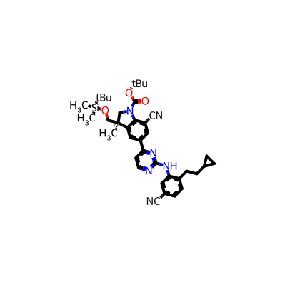 CC(C)(C)OC(=O)N1C[C@](C)(CO[Si](C)(C)C(C)(C)C)c2cc(-c3ccnc(Nc4cc(C#N)ccc4CCC4CC4)n3)cc(C#N)c21